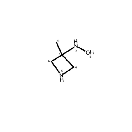 CC1(NO)CNC1